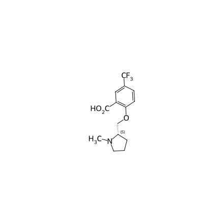 CN1CCC[C@H]1COc1ccc(C(F)(F)F)cc1C(=O)O